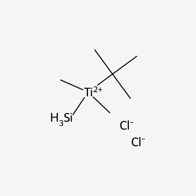 C[C](C)(C)[Ti+2]([CH3])([CH3])[SiH3].[Cl-].[Cl-]